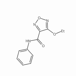 CCOc1nonc1C(=O)Nc1ccccc1